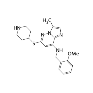 COc1ccccc1CNc1cc(SC2CCNCC2)nn2c(C)cnc12